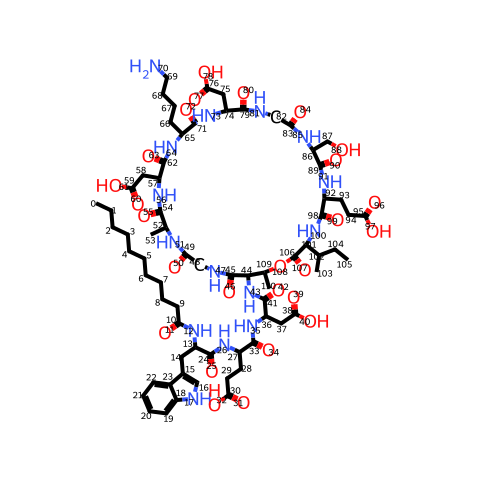 CCCCCCCCCCC(=O)NC(Cc1c[nH]c2ccccc12)C(=O)NC(CCC(=O)O)C(=O)NC(CC(=O)O)C(=O)NC1C(=O)NCC(=O)NC(C)C(=O)NC(CC(=O)O)C(=O)NC(CCCCN)C(=O)NC(CC(=O)O)C(=O)NCC(=O)NC(CO)C(=O)NC(CCC(=O)O)C(=O)NC(C(C)CC)C(=O)OC1C